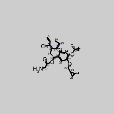 C=C/C(Cl)=C(C[C@H](OC(=O)CN)c1ccc(OC(F)F)c(OCC2CC2)c1)\C(Cl)=C/C